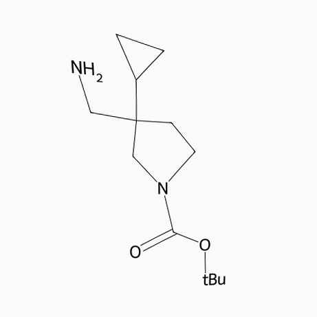 CC(C)(C)OC(=O)N1CCC(CN)(C2CC2)C1